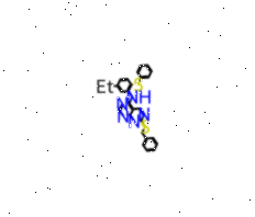 CCc1ccc(Sc2ccccc2)c(Nc2ncnc3nc(SCc4ccccc4)ncc23)c1